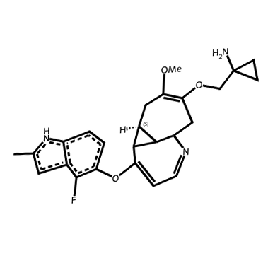 COC1=C(OCC2(N)CC2)CC2N=CC=C(Oc3ccc4[nH]c(C)cc4c3F)C3C2[C@@H]3C1